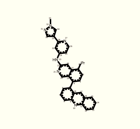 CC(C)c1ccc(-c2cccc3nc4ccccc4cc23)c2cnc(Nc3ccnc(-c4cnn(C)c4)c3)cc12